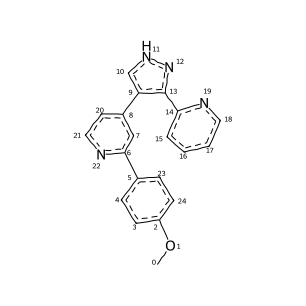 COc1ccc(-c2cc(-c3c[nH]nc3-c3ccccn3)ccn2)cc1